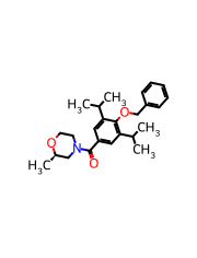 CC(C)c1cc(C(=O)N2CCO[C@H](C)C2)cc(C(C)C)c1OCc1ccccc1